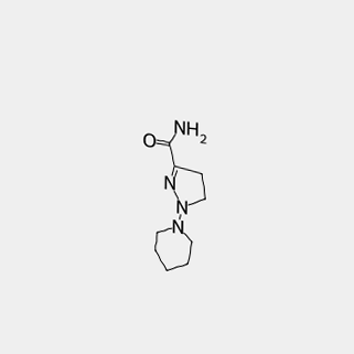 NC(=O)C1=NN(N2CCCCC2)CC1